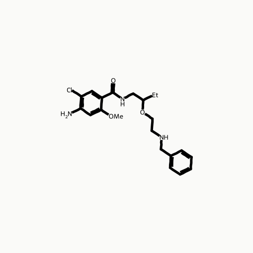 CCC(CNC(=O)c1cc(Cl)c(N)cc1OC)OCCNCc1ccccc1